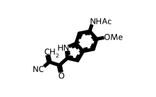 C=C(C#N)C(=O)c1cc2cc(OC)c(NC(C)=O)cc2[nH]1